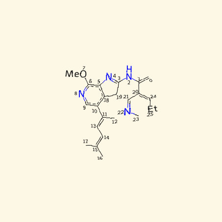 C=C(NC1=Nc2c(OC)ncc(/C(C)=C/C=C(C)C)c2C1)C(/C=N\C)=C/CC